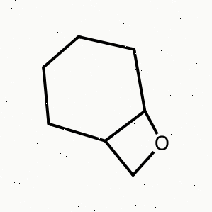 C1CCC2OCC2C1